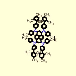 Cc1ccc(N(C2=CC(N(c3ccc(C)cc3)c3ccc(-c4c(C)cc(C)cc4C)cc3)c3ccc4c5c(ccc2c35)C(N(c2ccc(C)cc2)c2ccc(-c3c(C)cc(C)cc3C)cc2)C=C4N(c2ccc(C)cc2)c2ccc(-c3c(C)cc(C)cc3C)cc2)c2ccc(-c3c(C)cc(C)cc3C)cc2)cc1